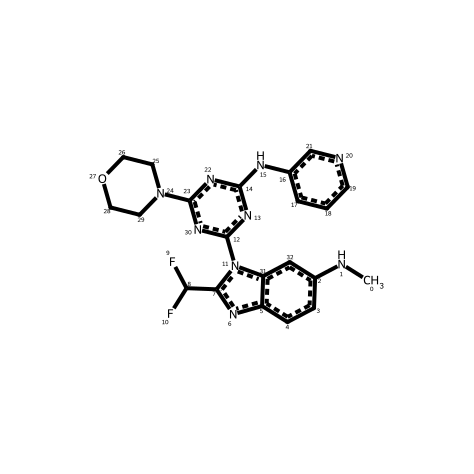 CNc1ccc2nc(C(F)F)n(-c3nc(Nc4cccnc4)nc(N4CCOCC4)n3)c2c1